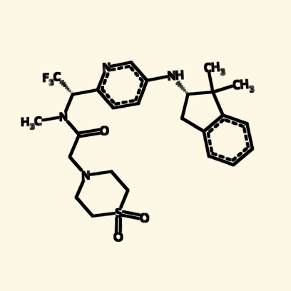 CN(C(=O)CN1CCS(=O)(=O)CC1)[C@@H](c1ccc(N[C@H]2Cc3ccccc3C2(C)C)cn1)C(F)(F)F